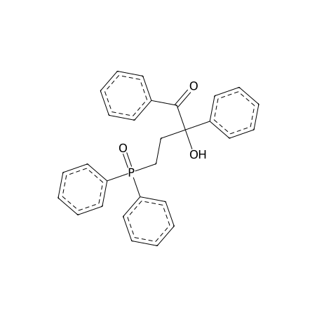 O=C(c1ccccc1)C(O)(CCP(=O)(c1ccccc1)c1ccccc1)c1ccccc1